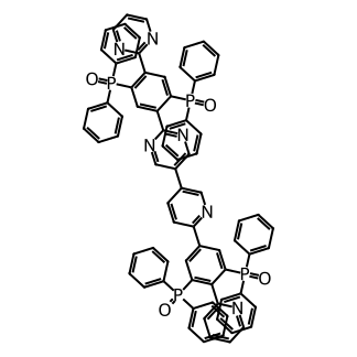 O=P(c1ccccc1)(c1ccccc1)c1cc(-c2ncc(-c3ccc(-c4cc(P(=O)(c5ccccc5)c5ccccc5)c(-c5ccccn5)c(P(=O)(c5ccccc5)c5ccccc5)c4)nc3)cn2)c(P(=O)(c2ccccc2)c2ccccc2)cc1-c1ncccn1